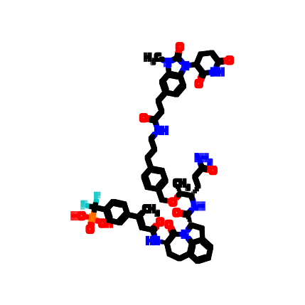 C/C(=C\C(=O)N[C@H]1CCc2cccc3c2N(C1=O)[C@H](C(=O)N[C@@H](CCC(N)=O)[C@@H](C)OCc1ccc(CCCNC(=O)CCc2ccc4c(c2)n(C)c(=O)n4C2CCC(=O)NC2=O)cc1)C3)c1ccc(C(F)(F)P(=O)(O)O)cc1